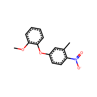 COc1ccccc1Oc1ccc([N+](=O)[O-])c(C)c1